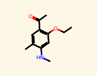 CCOc1cc(NC)c(C)cc1C(C)=O